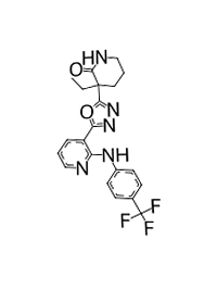 CCC1(c2nnc(-c3cccnc3Nc3ccc(C(F)(F)F)cc3)o2)CCCNC1=O